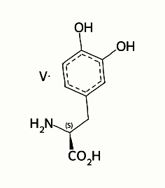 N[C@@H](Cc1ccc(O)c(O)c1)C(=O)O.[V]